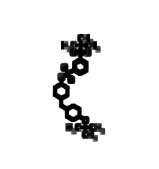 CC(C)(C)OC1CCC(CC2CCC(OS(=O)(=O)c3cccc(S(=O)(=O)C(C)(C)C)c3)CC2)CC1